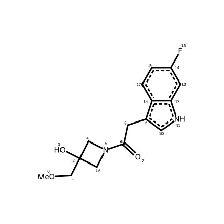 COCC1(O)CN(C(=O)Cc2c[nH]c3cc(F)ccc23)C1